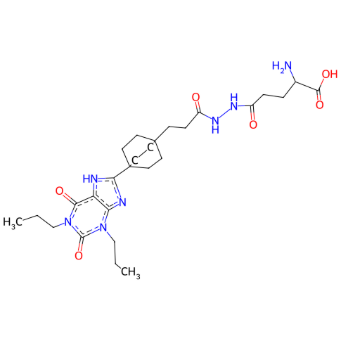 CCCn1c(=O)c2[nH]c(C34CCC(CCC(=O)NNC(=O)CCC(N)C(=O)O)(CC3)CC4)nc2n(CCC)c1=O